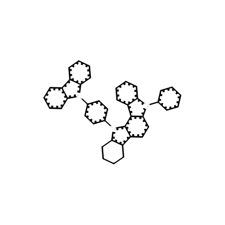 c1ccc(-n2c3ccccc3c3c4c(ccc32)c2c(n4-c3ccc(-n4c5ccccc5c5ccccc54)cc3)CCCC2)cc1